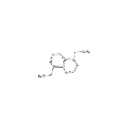 CC(=O)OCc1cccc2c(COC(C)=O)cccc12